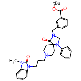 Cn1c(=O)n(CCCN2CCC3(CC2)C(=O)N(Cc2cccc(C(=O)OC(C)(C)C)c2)CN3c2ccccc2)c2ccccc21